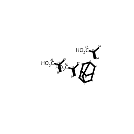 C1C2CC3CC1CC(C2)C3.C=C(C)C(=O)O.C=C(C)C(=O)O.C=C(C)C(=O)O